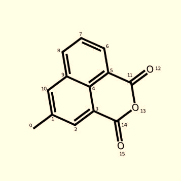 Cc1cc2c3c(cccc3c1)C(=O)OC2=O